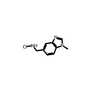 Cn1cnc2cc(CNCl)ccc21